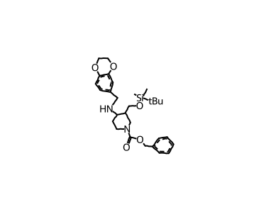 CC(C)(C)[Si](C)(C)OCC1CN(C(=O)OCc2ccccc2)CCC1NCc1ccc2c(c1)OCCO2